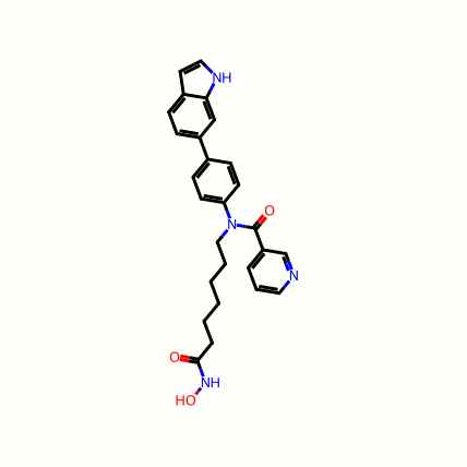 O=C(CCCCCCN(C(=O)c1cccnc1)c1ccc(-c2ccc3cc[nH]c3c2)cc1)NO